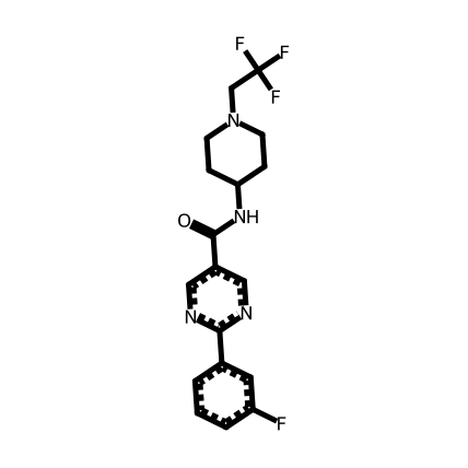 O=C(NC1CCN(CC(F)(F)F)CC1)c1cnc(-c2cccc(F)c2)nc1